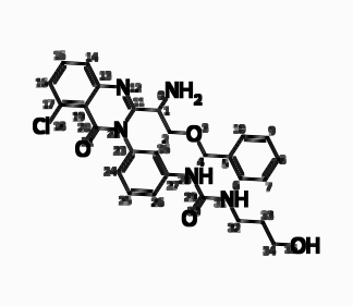 NC(COCc1ccccc1)c1nc2cccc(Cl)c2c(=O)n1-c1cccc(NC(=O)NCCCO)c1